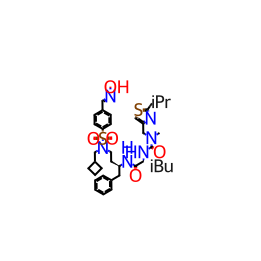 CC[C@H](C)[C@H](NC(=O)N(C)Cc1csc(C(C)C)n1)C(=O)N[C@H](CCN(CC1CCC1)S(=O)(=O)c1ccc(C=NO)cc1)Cc1ccccc1